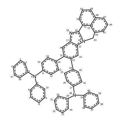 c1ccc(N(c2ccccc2)c2ccc(-c3cc4nc5n(c4cc3-c3ccc(N(c4ccccc4)c4ccccc4)cc3)Cc3cccc4cccc-5c34)cc2)cc1